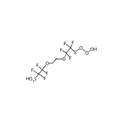 O=S(=O)(O)C(F)(F)C(F)(F)OCCOC(F)(F)C(F)(F)SOOO